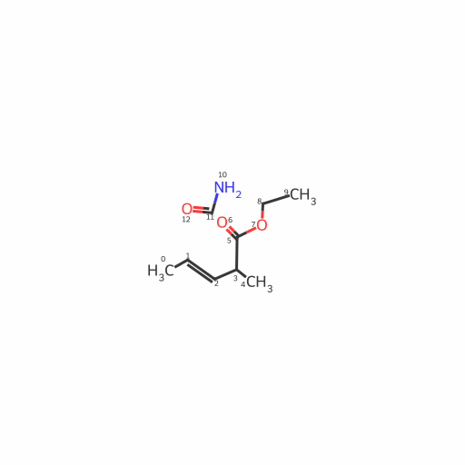 CC=CC(C)C(=O)OCC.NC=O